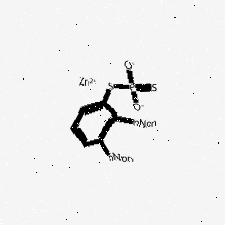 CCCCCCCCCc1cccc(SP([O-])([O-])=S)c1CCCCCCCCC.[Zn+2]